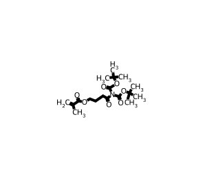 C=C(C)C(=O)OCCCC(=O)N(C(=O)OC(C)(C)C)C(=O)OC(C)(C)C